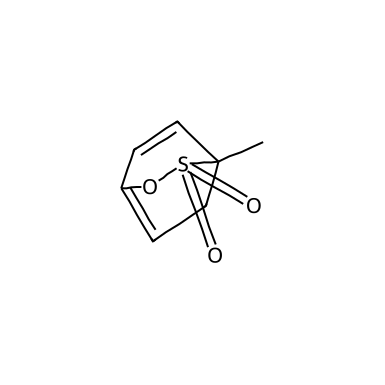 CC12C=CC(=CC1)OS2(=O)=O